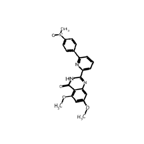 COc1cc(OC)c2c(=O)[nH]c(-c3cccc(-c4ccc([S+](C)[O-])cc4)n3)nc2c1